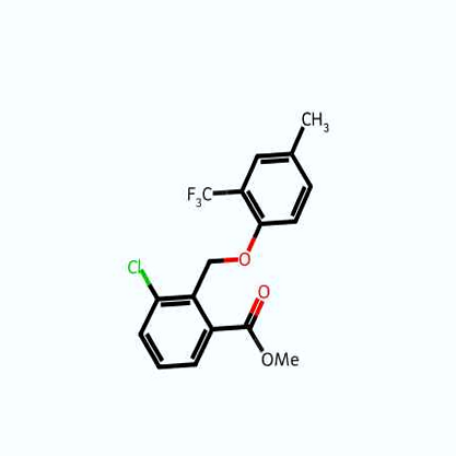 COC(=O)c1cccc(Cl)c1COc1ccc(C)cc1C(F)(F)F